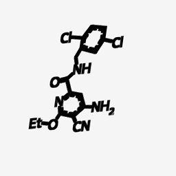 CCOc1nc(C(=O)NCc2cc(Cl)ccc2Cl)cc(N)c1C#N